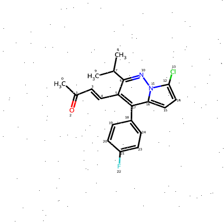 CC(=O)C=Cc1c(C(C)C)nn2c(Cl)ccc2c1-c1ccc(F)cc1